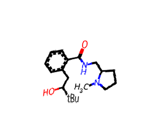 CN1CCCC1CNC(=O)c1ccccc1CC(O)C(C)(C)C